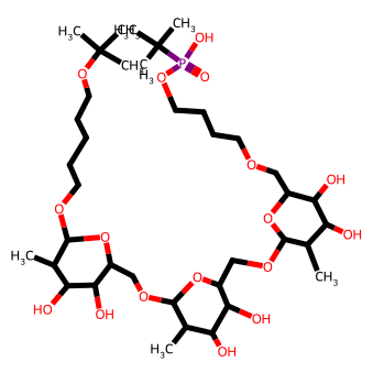 CC1C(OCC2OC(OCC3OC(OCCCCCOC(C)(C)C)C(C)C(O)C3O)C(C)C(O)C2O)OC(COCCCCOP(=O)(O)C(C)(C)C)C(O)C1O